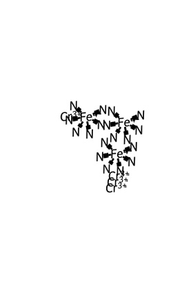 N#[C][Fe-4]([C]#N)([C]#N)([C]#N)([C]#N)[C]#N.N#[C][Fe-4]([C]#N)([C]#N)([C]#N)([C]#N)[C]#N.N#[C][Fe-4]([C]#N)([C]#N)([C]#N)([C]#N)[C]#N.[Cr+3].[Cr+3].[Cr+3].[Cr+3]